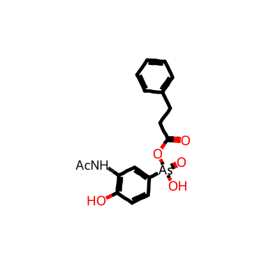 CC(=O)Nc1cc([As](=O)(O)OC(=O)CCc2ccccc2)ccc1O